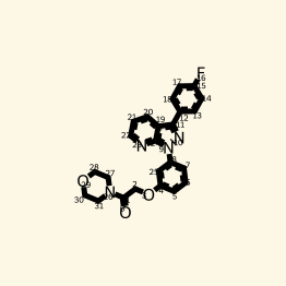 O=C(COc1cccc(-n2nc(-c3ccc(F)cc3)c3cccnc32)c1)N1CCOCC1